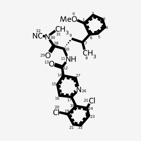 COc1ccccc1C(C)C[C@H](NC(=O)c1ccc(-c2c(Cl)cccc2Cl)nc1)C(=O)N(C)C#N